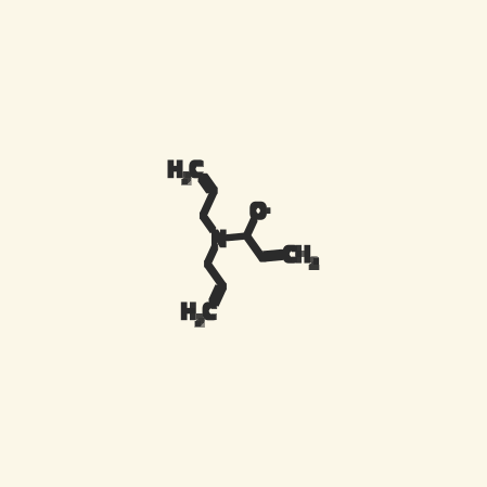 C=CCN(CC=C)C([O])C=C